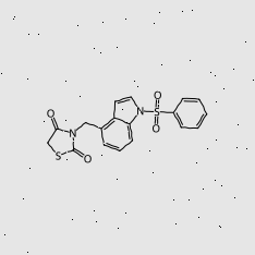 O=C1CSC(=O)N1Cc1cccc2c1ccn2S(=O)(=O)c1ccccc1